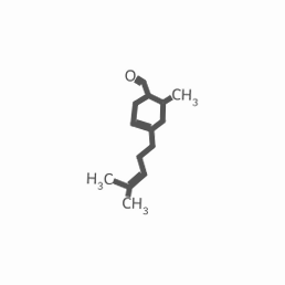 CC(C)=CCCC1=CCC(C=O)C(C)C1